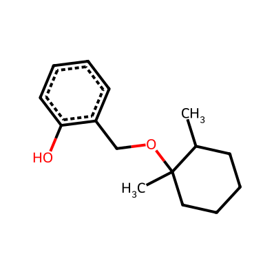 CC1CCCCC1(C)OCc1ccccc1O